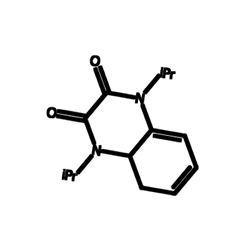 CC(C)N1C(=O)C(=O)N(C(C)C)C2CC=CC=C21